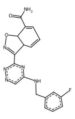 NC(=O)C1=CC=CC2C(c3nncc(NCc4cccc(F)c4)n3)=NOC12